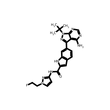 CC(C)(C)n1nc(-c2ccc3cc(C(=O)Nc4ccn(CCF)n4)[nH]c3c2)c2c(N)ncnc21